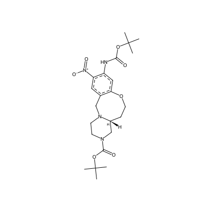 CC(C)(C)OC(=O)Nc1cc2c(cc1[N+](=O)[O-])CN1CCN(C(=O)OC(C)(C)C)C[C@H]1CCO2